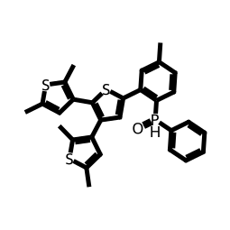 Cc1ccc([PH](=O)c2ccccc2)c(-c2cc(-c3cc(C)sc3C)c(-c3cc(C)sc3C)s2)c1